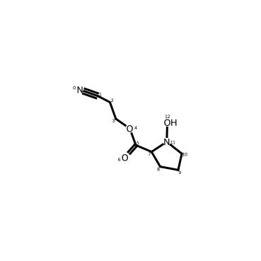 N#CCCOC(=O)C1CCCN1O